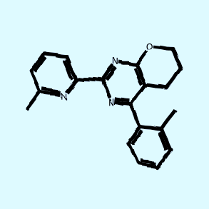 Cc1cccc(-c2nc3c(c(-c4ccccc4C)n2)CCCO3)n1